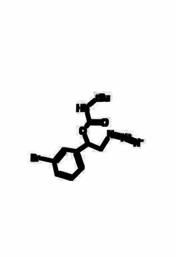 CC(C)(C)NC(=O)OC(CN=[N+]=[N-])c1cccc(Br)c1